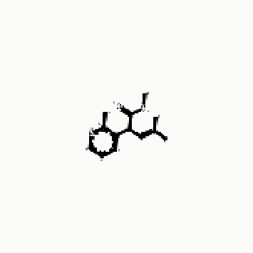 COC(=O)C(C=C(C)C)c1cccnc1C